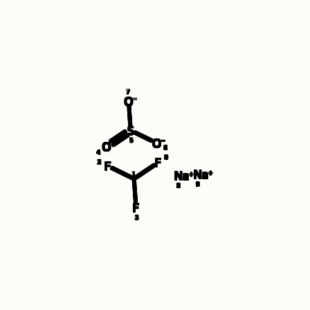 FC(F)F.O=S([O-])[O-].[Na+].[Na+]